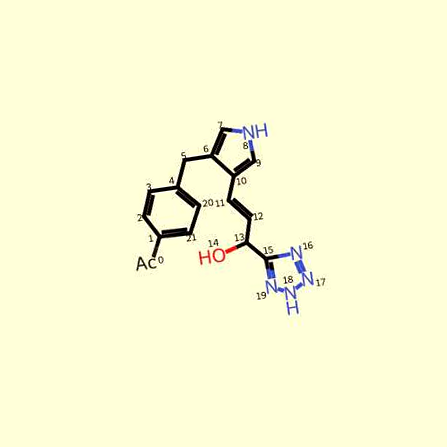 CC(=O)c1ccc(Cc2c[nH]cc2C=CC(O)c2nn[nH]n2)cc1